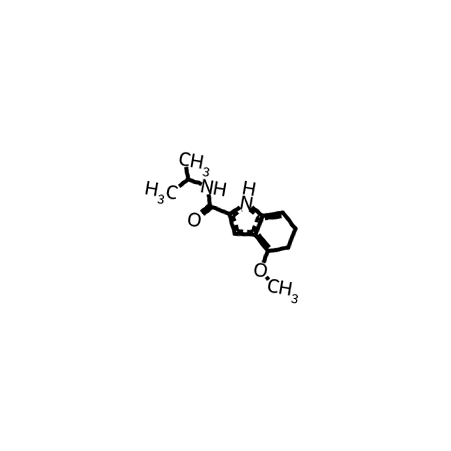 COC1=c2cc(C(=O)NC(C)C)[nH]c2=CCC1